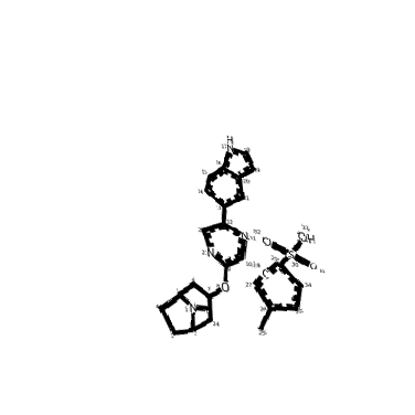 CN1C2CCC1CC(Oc1cnc(-c3ccc4[nH]ccc4c3)cn1)C2.Cc1ccc(S(=O)(=O)O)cc1